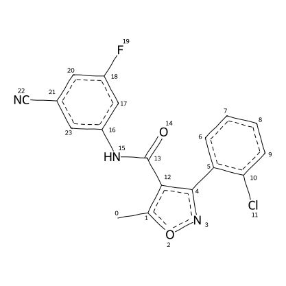 Cc1onc(-c2ccccc2Cl)c1C(=O)Nc1cc(F)cc(C#N)c1